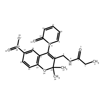 CCC(=O)NCC1=C(n2ccccc2=O)c2cc([N+](=O)[O-])ccc2OC1(C)C